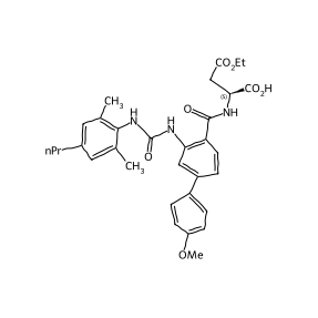 CCCc1cc(C)c(NC(=O)Nc2cc(-c3ccc(OC)cc3)ccc2C(=O)N[C@@H](CC(=O)OCC)C(=O)O)c(C)c1